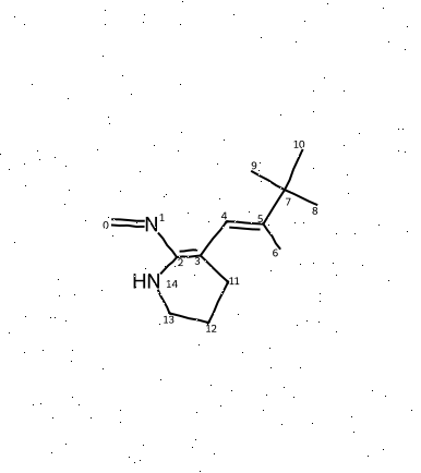 C=NC1=C(/C=C(\C)C(C)(C)C)CCCN1